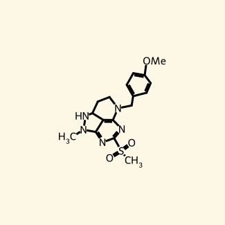 COc1ccc(CN2CCC3NN(C)c4nc(S(C)(=O)=O)nc2c43)cc1